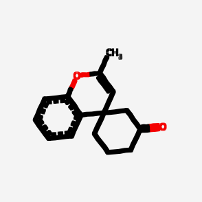 CC1=CC2(CCCC(=O)C2)c2ccccc2O1